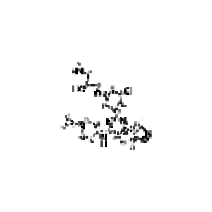 CNCC(O)COc1cc(Cl)cc(-c2nc(NC3CCN(C4CC4)CC3)c(C)c(-c3c(C)noc3C)n2)c1